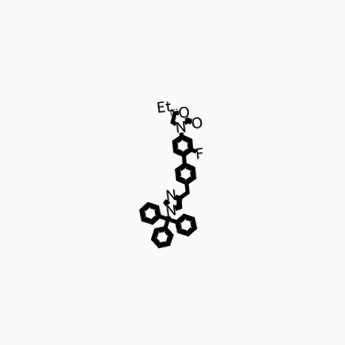 CC[C@H]1CN(c2ccc(-c3ccc(Cc4cn(C(c5ccccc5)(c5ccccc5)c5ccccc5)cn4)cc3)c(F)c2)C(=O)O1